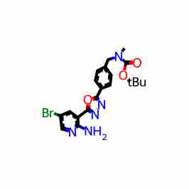 CN(Cc1ccc(-c2nnc(-c3cc(Br)cnc3N)o2)cc1)C(=O)OC(C)(C)C